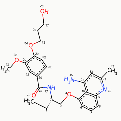 CC[C@@H](COc1cccc2nc(C)cc(N)c12)NC(=O)c1ccc(OCCCO)c(OC)c1